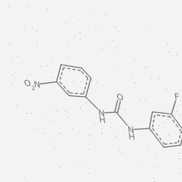 O=C(Nc1cccc(F)c1)Nc1cccc([N+](=O)[O-])c1